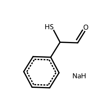 O=CC(S)c1ccccc1.[NaH]